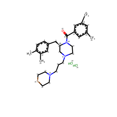 Cc1ccc(C[C@@H]2CN(CCCN3CCSCC3)CCN2C(=O)c2cc(C(F)(F)F)cc(C(F)(F)F)c2)cc1C.Cl.Cl